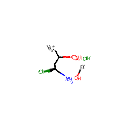 CC(O)C(N)Cl.CCO.Cl